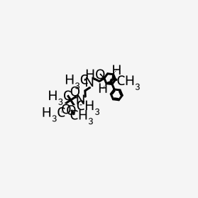 COCC(C)(COC)C(=O)N(C)CCCN(C)CC[C@]1(O)C[C@H]2CC[C@@H]1C(c1ccccc1)=C2C